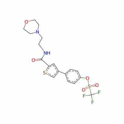 O=C(NCCN1CCOCC1)c1cc(-c2ccc(OS(=O)(=O)C(F)(F)F)cc2)cs1